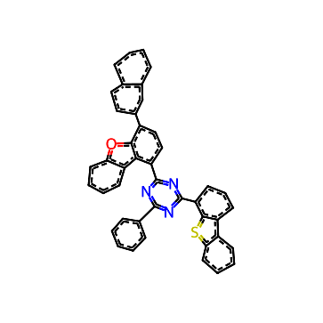 c1ccc(-c2nc(-c3cccc4c3sc3ccccc34)nc(-c3ccc(-c4ccc5ccccc5c4)c4oc5ccccc5c34)n2)cc1